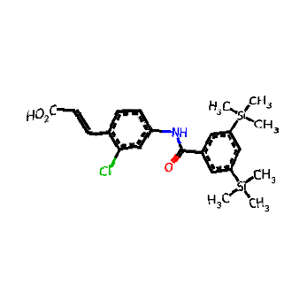 C[Si](C)(C)c1cc(C(=O)Nc2ccc(C=CC(=O)O)c(Cl)c2)cc([Si](C)(C)C)c1